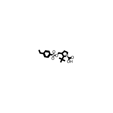 CCc1ccc(S(=O)(=O)OCC2CCN(C(=O)O)C2C(C)(C)C)cc1